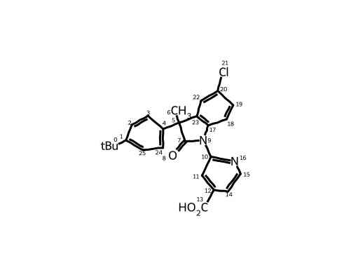 CC(C)(C)c1ccc(C2(C)C(=O)N(c3cc(C(=O)O)ccn3)c3ccc(Cl)cc32)cc1